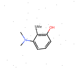 CSc1c(O)cccc1N(C)C